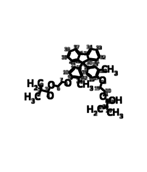 C=C(C)C(=O)OCCOc1ccc(C2(c3ccc(OCCO[C@H](O)C(=C)C)c(C)c3)c3ccccc3-c3ccccc32)cc1C